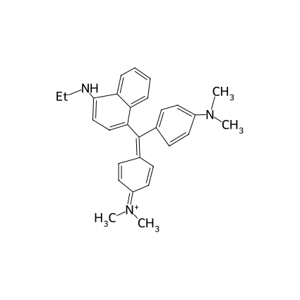 CCNc1ccc(C(=C2C=CC(=[N+](C)C)C=C2)c2ccc(N(C)C)cc2)c2ccccc12